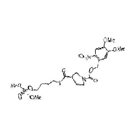 COc1cc(COC(=O)N2CCC(C(=O)SCCCCOP(=O)(OC)OC)C2)c([N+](=O)[O-])cc1OC